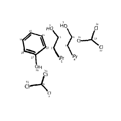 CC(C)CCO.CC(C)CCO.ClC(Cl)Cl.ClC(Cl)Cl.Oc1ccccc1